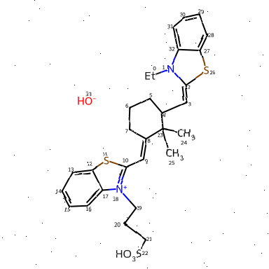 CCN1C(=CC2CCCC(=Cc3sc4ccccc4[n+]3CCCS(=O)(=O)O)C2(C)C)Sc2ccccc21.[OH-]